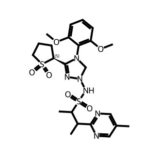 COc1cccc(OC)c1N1CN(NS(=O)(=O)C(C)C(C)c2ncc(C)cn2)N=C1[C@@H]1CCCS1(=O)=O